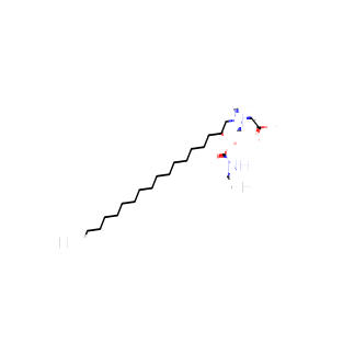 CCCCCCCCCCCCCCCCC(C[N+](C)(C)CC(=O)[O-])OC(=O)NCC